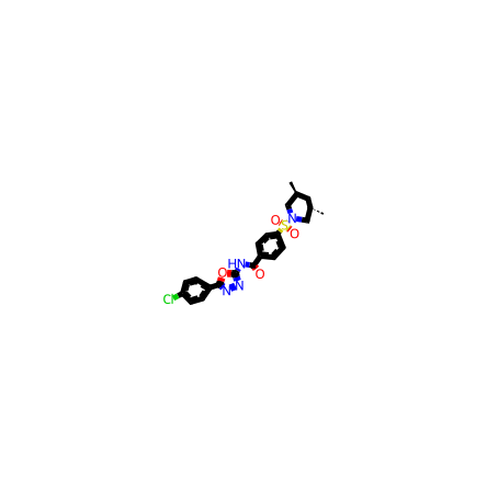 C[C@H]1C[C@H](C)CN(S(=O)(=O)c2ccc(C(=O)Nc3nnc(-c4ccc(Cl)cc4)o3)cc2)C1